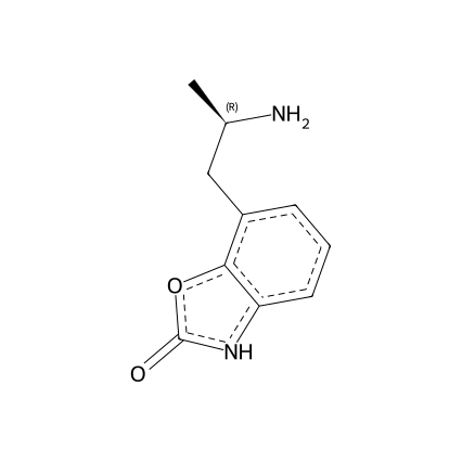 C[C@@H](N)Cc1cccc2[nH]c(=O)oc12